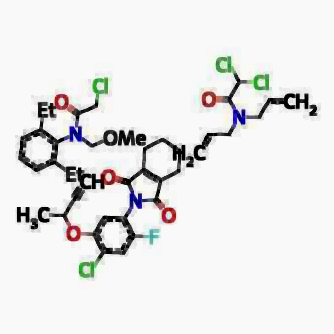 C#CC(C)Oc1cc(N2C(=O)C3=C(CCCC3)C2=O)c(F)cc1Cl.C=CCN(CC=C)C(=O)C(Cl)Cl.CCc1cccc(CC)c1N(COC)C(=O)CCl